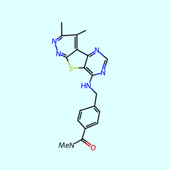 CNC(=O)c1ccc(CNc2ncnc3c2sc2nnc(C)c(C)c23)cc1